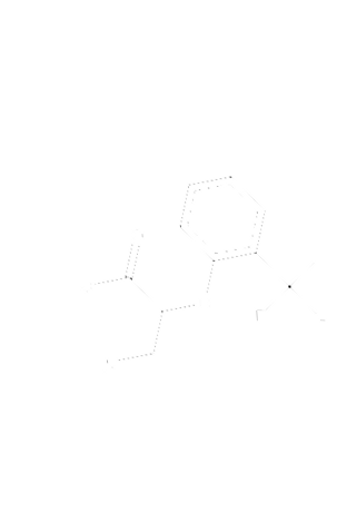 CCC(Oc1ccccc1C(F)(F)F)C(=O)O